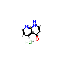 Cl.O=c1cc[nH]c2ncccc12